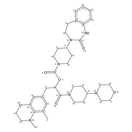 Cc1cc(CC(OC(=O)N2CCC(N3CCc4ccccc4NC3=O)CC2)C(=O)N2CCC(N3CCOCC3)CC2)cc2c1N(C)CCO2